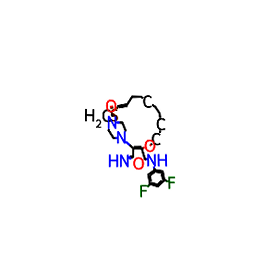 C=S1(=O)/C=C/CCCCCCCCO/C(C(=O)Nc2cc(F)cc(F)c2)=C(/C=N)N2CCN1CC2